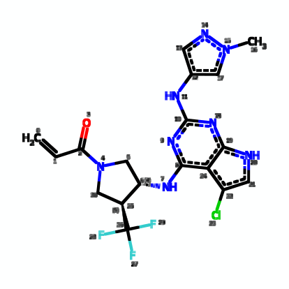 C=CC(=O)N1C[C@H](Nc2nc(Nc3cnn(C)c3)nc3[nH]cc(Cl)c23)[C@@H](C(F)(F)F)C1